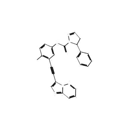 Cc1ccc(NC(=O)N2N=CCC2c2ccccc2)cc1C#Cc1cnc2cccnn12